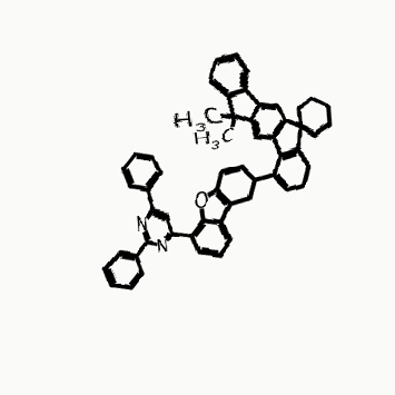 CC1(C)c2ccccc2-c2cc3c(cc21)C1=C(CCC=C1C1C=Cc2oc4c(-c5cc(-c6ccccc6)nc(-c6ccccc6)n5)cccc4c2C1)C31CCCCC1